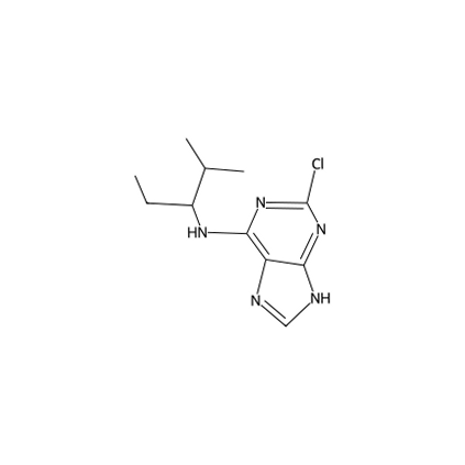 CCC(Nc1nc(Cl)nc2[nH]cnc12)C(C)C